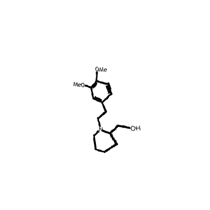 COc1ccc(CCN2CCCCC2CO)cc1OC